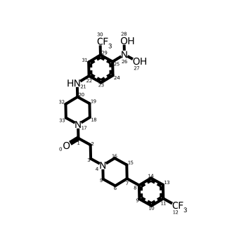 O=C(CCN1CCC(c2ccc(C(F)(F)F)cc2)CC1)N1CCC(Nc2ccc(N(O)O)c(C(F)(F)F)c2)CC1